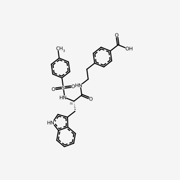 Cc1ccc(S(=O)(=O)N[C@@H](Cc2c[nH]c3ccccc23)C(=O)NCCc2ccc(C(=O)O)cc2)cc1